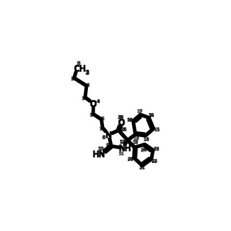 CCCCOCCCN1C(=N)NC(c2ccccc2)(c2ccccc2)C1=O